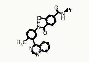 Cc1ccc(NC(=O)c2ccc(C(=O)NC(C)C)cc2Cl)cc1-c1ncnc2ccccc12